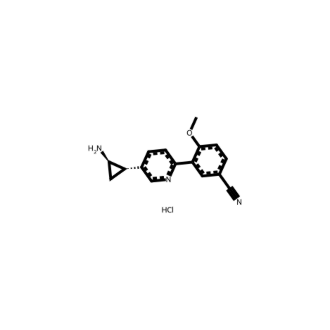 COc1ccc(C#N)cc1-c1ccc([C@@H]2C[C@H]2N)cn1.Cl